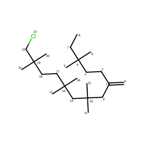 C=C(CCC(C)(C)CC)CC(C)(C)CC(C)(C)CCC(C)(C)CCl